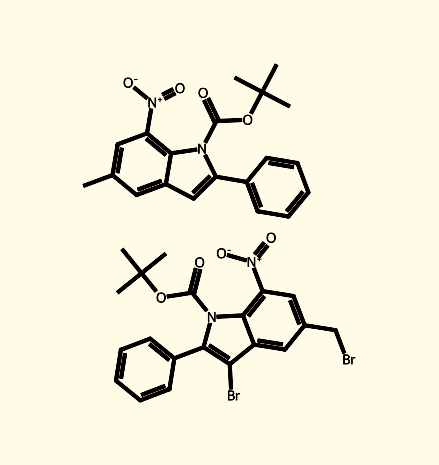 CC(C)(C)OC(=O)n1c(-c2ccccc2)c(Br)c2cc(CBr)cc([N+](=O)[O-])c21.Cc1cc([N+](=O)[O-])c2c(c1)cc(-c1ccccc1)n2C(=O)OC(C)(C)C